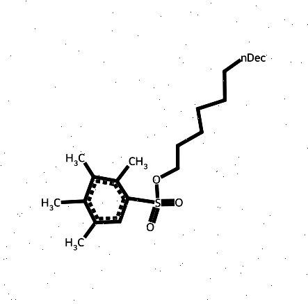 CCCCCCCCCCCCCCCCOS(=O)(=O)c1cc(C)c(C)c(C)c1C